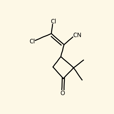 CC1(C)C(=O)CC1C(C#N)=C(Cl)Cl